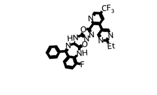 CCc1ncc(-c2cc(C(F)(F)F)cnc2-c2nnc(N[C@H]3N=C(c4ccccc4)c4cccc(F)c4NC3=O)o2)cn1